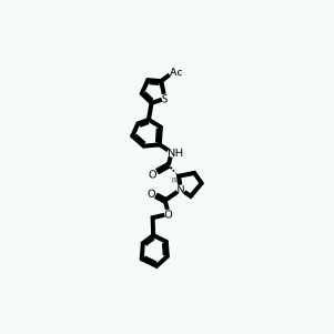 CC(=O)c1ccc(-c2cccc(NC(=O)[C@@H]3CCCN3C(=O)OCc3ccccc3)c2)s1